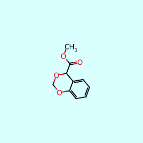 COC(=O)C1OCOc2ccccc21